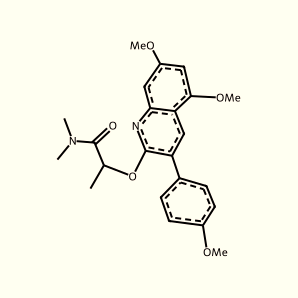 COc1ccc(-c2cc3c(OC)cc(OC)cc3nc2OC(C)C(=O)N(C)C)cc1